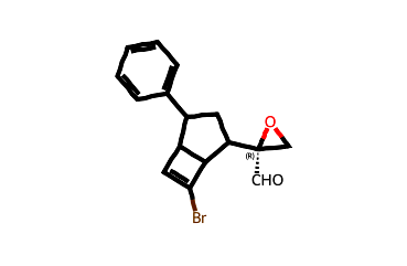 O=C[C@@]1(C2CC(c3ccccc3)C3C=C(Br)C32)CO1